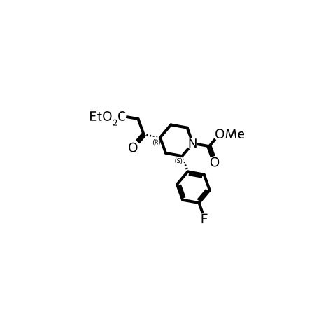 CCOC(=O)CC(=O)[C@@H]1CCN(C(=O)OC)[C@H](c2ccc(F)cc2)C1